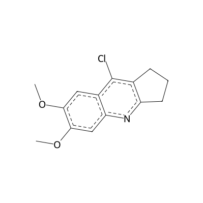 COc1cc2nc3c(c(Cl)c2cc1OC)CCC3